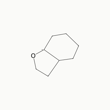 C1CCC2CCO[C]2C1